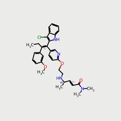 CC/C(=C(/c1ccc(OCCN[C@H](C)/C=C/C(=O)N(C)C)nc1)c1[nH]c2ccccc2c1Cl)c1cccc(OC)c1